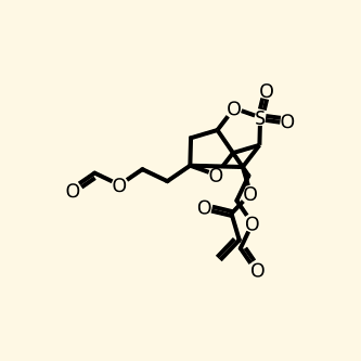 C=CC(=O)OC1C2C3(CCOC=O)OC1(CCOC=O)CC3OS2(=O)=O